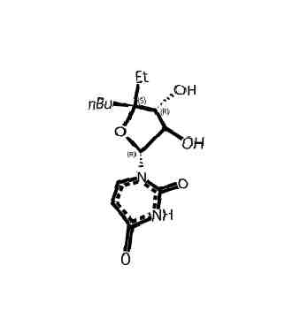 CCCC[C@]1(CC)O[C@@H](n2ccc(=O)[nH]c2=O)C(O)[C@H]1O